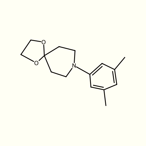 Cc1cc(C)cc(N2CCC3(CC2)OCCO3)c1